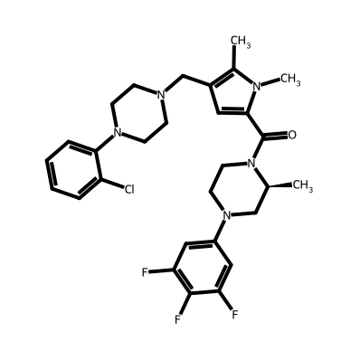 Cc1c(CN2CCN(c3ccccc3Cl)CC2)cc(C(=O)N2CCN(c3cc(F)c(F)c(F)c3)C[C@@H]2C)n1C